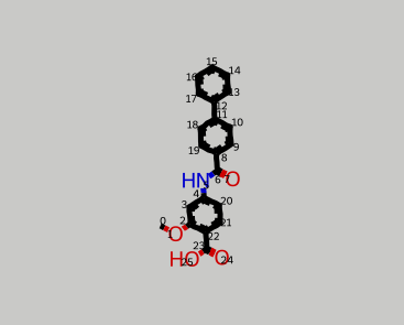 COc1cc(NC(=O)c2ccc(-c3ccccc3)cc2)ccc1C(=O)O